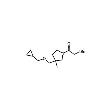 CC(C)(C)CC(=O)N1CCC(C)(COCC2CC2)C1